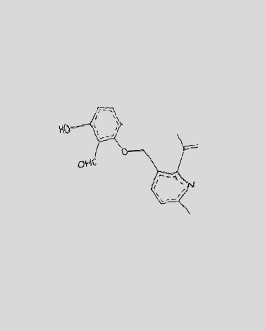 C=C(C)c1nc(C)ccc1COc1cccc(O)c1C=O